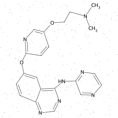 CN(C)CCOc1ccc(Oc2ccc3ncnc(Nc4cnccn4)c3c2)nc1